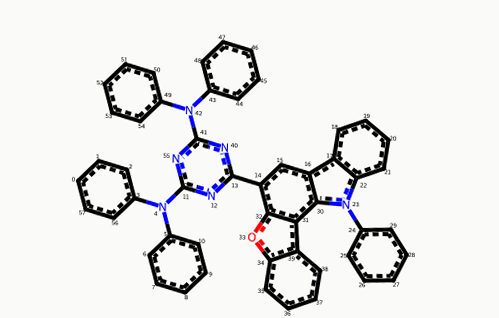 c1ccc(N(c2ccccc2)c2nc(-c3cc4c5ccccc5n(-c5ccccc5)c4c4c3oc3ccccc34)nc(N(c3ccccc3)c3ccccc3)n2)cc1